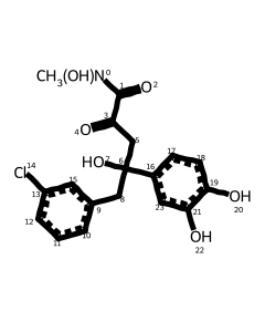 CN(O)C(=O)C(=O)CC(O)(Cc1cccc(Cl)c1)c1ccc(O)c(O)c1